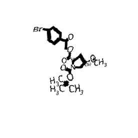 CO[C@H]1C[C@@H](C(=O)OCC(=O)c2ccc(Br)cc2)N(C(=O)OC(C)(C)C)C1